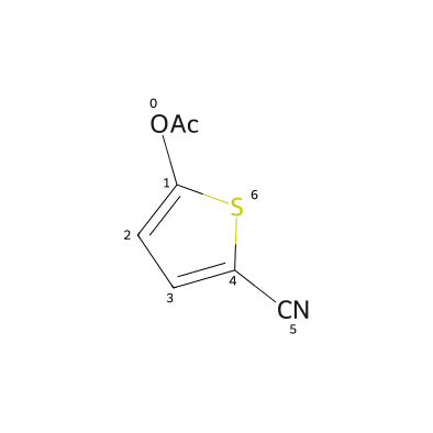 CC(=O)Oc1ccc(C#N)s1